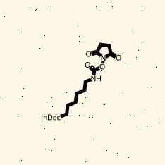 CCCCCCCCCCCCCCCCNC(=O)ON1C(=O)CCC1=O